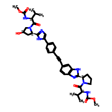 COC(=O)N[C@H](C(=O)N1C[C@H](O)C[C@H]1c1ncc(-c2ccc(C#Cc3ccc4nc([C@@H]5CCCN5C(=O)[C@@H](NC(=O)OC)C(C)C)[nH]c4c3)cc2)[nH]1)C(C)C